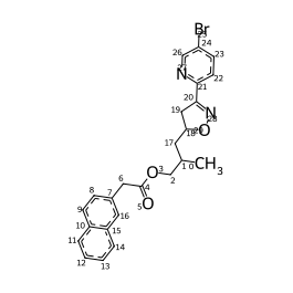 CC(COC(=O)Cc1ccc2ccccc2c1)CC1CC(c2ccc(Br)cn2)=NO1